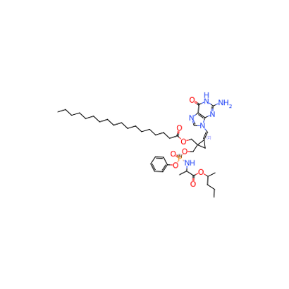 CCCCCCCCCCCCCCCCCC(=O)OCC1(CO[P@@](=O)(NC(C)C(=O)OC(C)CCC)Oc2ccccc2)C/C1=C/n1cnc2c(=O)[nH]c(N)nc21